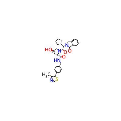 Cc1ncsc1-c1ccc(CNC(=O)[C@@H]2C[C@@H](O)CN2C(=O)C(C2CCCC2)N2Cc3ccccc3C2=O)cc1